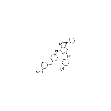 COc1cccc(CC2CCN(Nc3nc(NC4CCC(N)CC4)nc4c3ncn4C3CCCC3)CC2)c1